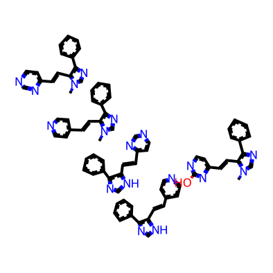 C(=Cc1[nH]cnc1-c1ccccc1)c1ccncc1.C(=Cc1[nH]cnc1-c1ccccc1)c1ccncn1.Cn1cnc(-c2ccccc2)c1C=Cc1ccnc(O)n1.Cn1cnc(-c2ccccc2)c1C=Cc1ccncc1.Cn1cnc(-c2ccccc2)c1C=Cc1ccncn1